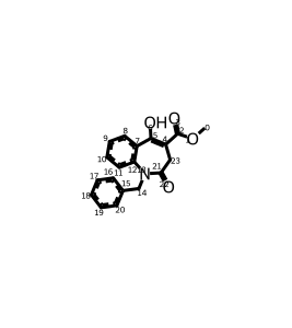 COC(=O)C1=C(O)c2ccccc2N(Cc2ccccc2)C(=O)C1